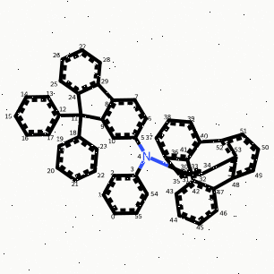 c1ccc(N(c2ccc3c(c2)C(c2ccccc2)(c2ccccc2)c2ccccc2-3)c2cccc3c2-c2cccc4c2-c2ccccc2-c2cccc-4c2-3)cc1